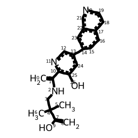 C=C(NCC(C)(C)C(=C)O)c1ncc(-c2ccc3ccncc3c2)cc1O